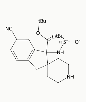 CC(C)(C)OC(=O)C1(N[S@+]([O-])C(C)(C)C)c2cc(C#N)ccc2CC12CCNCC2